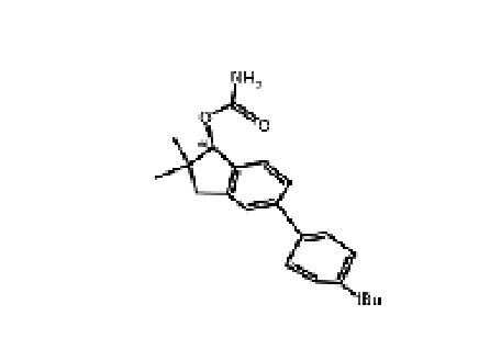 CC(C)(C)c1ccc(-c2ccc3c(c2)CC(C)(C)[C@H]3OC(N)=O)cc1